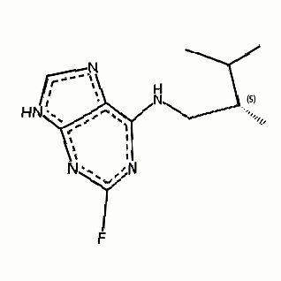 CC(C)[C@H](C)CNc1nc(F)nc2[nH]cnc12